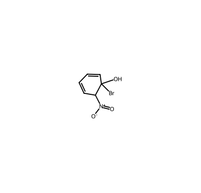 O=[N+]([O-])C1C=CC=CC1(O)Br